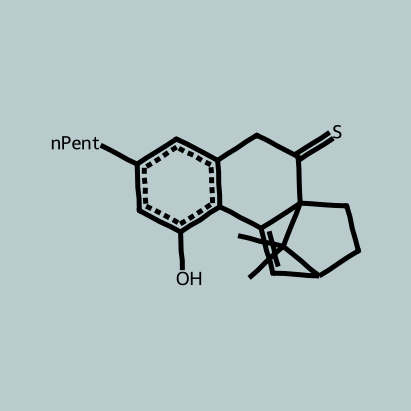 CCCCCc1cc(O)c2c(c1)CC(=S)C13CCC(C=C21)C3(C)C